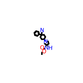 CCOC(=O)N[C@H]1CCN(C2CCC(C#N)(c3ccccc3)CC2)C1